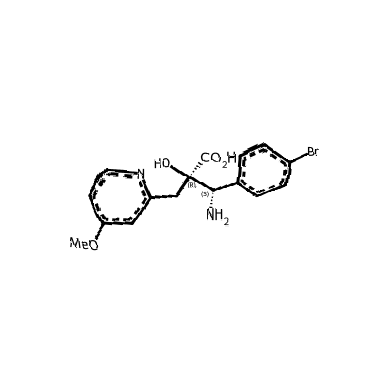 COc1ccnc(C[C@](O)(C(=O)O)[C@@H](N)c2ccc(Br)cc2)c1